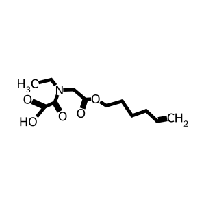 C=CCCCCOC(=O)CN(CC)C(=O)C(=O)O